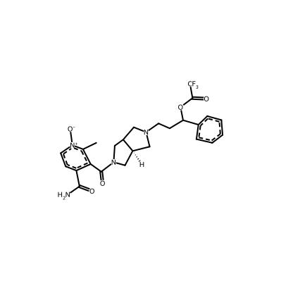 Cc1c(C(=O)N2CC3CN(CCC(OC(=O)C(F)(F)F)c4ccccc4)C[C@H]3C2)c(C(N)=O)cc[n+]1[O-]